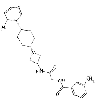 Cc1cccc(C(=O)NCC(=O)NC2CN([C@H]3CC[C@@H](c4cnccc4N)CC3)C2)c1